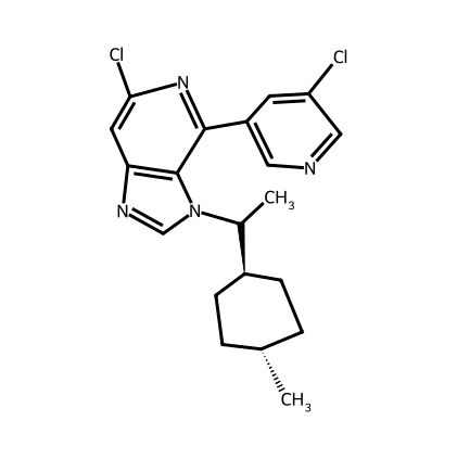 CC([C@H]1CC[C@H](C)CC1)n1cnc2cc(Cl)nc(-c3cncc(Cl)c3)c21